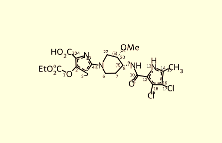 CCOC(=O)Oc1sc(N2CC[C@@H](NC(=O)c3[nH]c(C)c(Cl)c3Cl)[C@@H](OC)C2)nc1C(=O)O